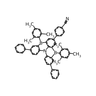 Cc1cc(C)c(B2c3cc(-c4ccccc4)ccc3N3c4ccc(-c5ccccc5)cc4B(c4c(C)cc(C)cc4C)c4cc(-c5ccc(C#N)cc5)cc2c43)c(C)c1